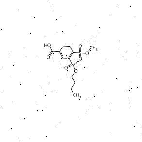 CCCCOS(=O)(=O)c1cc(C(=O)O)ccc1S(=O)(=O)OC